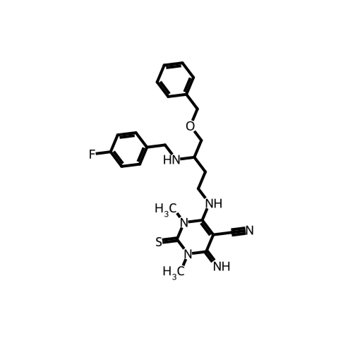 Cn1c(NCCC(COCc2ccccc2)NCc2ccc(F)cc2)c(C#N)c(=N)n(C)c1=S